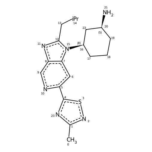 Cc1nsc(-c2cc3c(cn2)nc(CC(C)C)n3[C@@H]2CCC[C@H](N)C2)n1